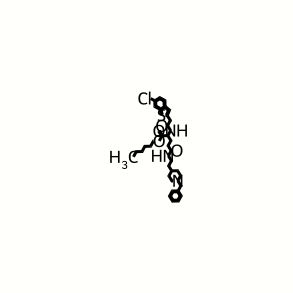 CCCCCCOC(=O)C(CCC(=O)NCCC1CCN(Cc2ccccc2)CC1)NC(=O)Cc1cc2ccc(Cl)cc2s1